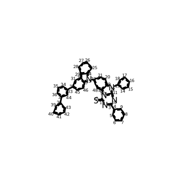 S=c1nc(-c2ccccc2)nc2n(-c3ccccc3)c3ccc(-n4c5ccccc5c5cc(-c6cccc(-c7ccccc7)c6)ccc54)cc3n12